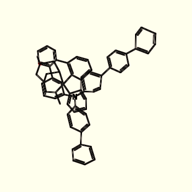 CC1CC2CC(C)C3(c4ccccc4-c4cccc(-c5ccccc5-c5cccc(N(c6ccc(-c7ccccc7)cc6)c6ccc(-c7ccc(-c8ccccc8)cc7)cc6)c5)c43)C(C1)C2